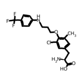 Cc1cc(C[C@H](N)C(=O)O)cc(Cl)c1OCCCNc1ccc(C(F)(F)F)cc1